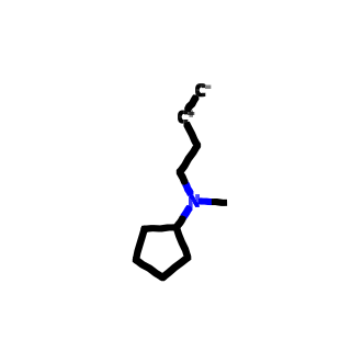 [CH2-][CH+]CCN(C)C1CCCC1